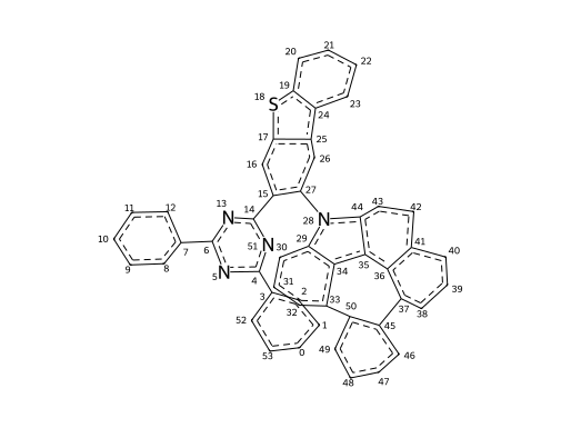 c1ccc(-c2nc(-c3ccccc3)nc(-c3cc4sc5ccccc5c4cc3-n3c4cccc5c4c4c6c(cccc6ccc43)-c3ccccc3-5)n2)cc1